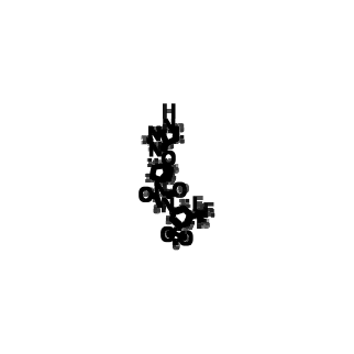 CS(=O)(=O)c1cc(N2CC(=O)N(C34CCC(Oc5ncnc6[nH]ccc56)(CC3)C4)C2=O)cc(C(F)(F)F)c1